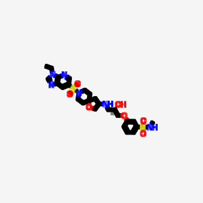 CCn1cnc2cc(S(=O)(=O)N3CCC4(CC3)CC(NC[C@H](O)COc3cccc(S(=O)(=O)NC)c3)CO4)cnc21